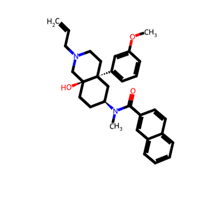 C=CCN1CC[C@@]2(c3cccc(OC)c3)C[C@@H](N(C)C(=O)c3ccc4ccccc4c3)CC[C@]2(O)C1